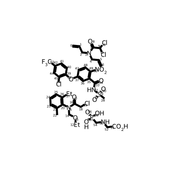 C=CCN(CC=C)C(=O)C(Cl)Cl.CCOCN(C(=O)CCl)c1c(C)cccc1CC.CS(=O)(=O)NC(=O)c1cc(Oc2ccc(C(F)(F)F)cc2Cl)ccc1[N+](=O)[O-].O=C(O)CNCP(=O)(O)O